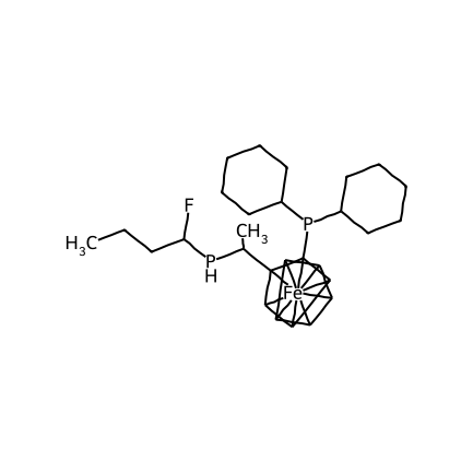 CCCC(F)PC(C)[C]12[CH]3[CH]4[CH]5[C]1(P(C1CCCCC1)C1CCCCC1)[Fe]43521678[CH]2[CH]1[CH]6[CH]7[CH]28